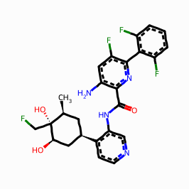 C[C@H]1C[C@@H](c2ccncc2NC(=O)c2nc(-c3c(F)cccc3F)c(F)cc2N)C[C@@H](O)[C@@]1(O)CF